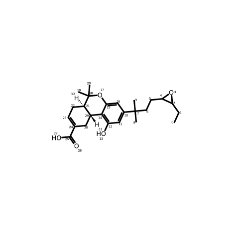 CCC1OC1CCC(C)(C)c1cc(O)c2c(c1)OC(C)(C)[C@@H]1CC=C(C(=O)O)C[C@@H]21